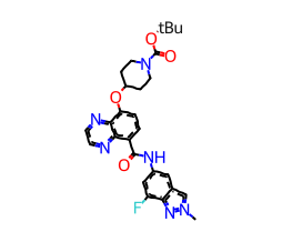 Cn1cc2cc(NC(=O)c3ccc(OC4CCN(C(=O)OC(C)(C)C)CC4)c4nccnc34)cc(F)c2n1